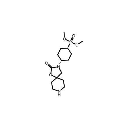 COP(=O)(OC)[C@H]1CC[C@H](N2CC3(CCNCC3)OC2=O)CC1